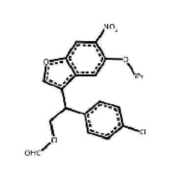 CC(C)Oc1cc2c(C(COC=O)c3ccc(Cl)cc3)coc2cc1[N+](=O)[O-]